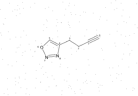 [C]#CCCc1conn1